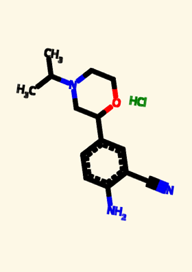 CC(C)N1CCOC(c2ccc(N)c(C#N)c2)C1.Cl